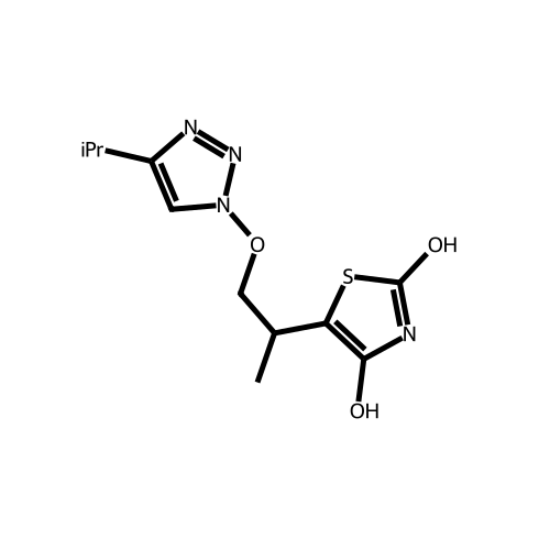 CC(C)c1cn(OCC(C)c2sc(O)nc2O)nn1